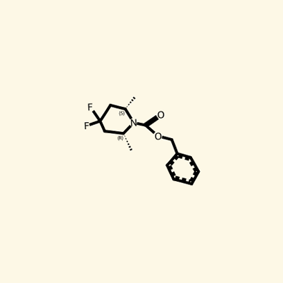 C[C@@H]1CC(F)(F)C[C@H](C)N1C(=O)OCc1ccccc1